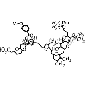 C=C1CC(CC[C@@]23OC4C5OC(CC(=O)O)CCC5OC5C(O2)[C@]2(OC(c6ccc(OC)cc6)O[C@@H]32)O[C@H]45)OC1CCC1C[C@@H](C)C(=C)C(C[C@@H]2O[C@H]3CC(O[Si](C)(C)C(C)(C)C)C(CCO[Si](C)(C)C(C)(C)C)O[C@H]3[C@H](C)C2O)O1